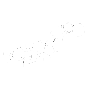 C[C@@]1(O)CC[C@H]2[C@H](CC[C@@H]3[C@@H]2CC[C@]2(C)[C@@H](C(=O)Cn4ncc5c4CCCC5)CC[C@@H]32)C1